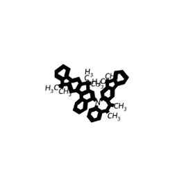 CC1c2ccccc2N(c2cc3c(c4ccccc24)-c2cc4c(cc2C3(C)C)-c2ccccc2C4(C)C)c2cc3c(cc2C1C)-c1ccccc1C3(C)C